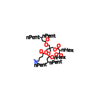 CCCCCCOC(=O)C(CCCCCC)C(=O)OCC(COC(=O)CCCN(C)C)(COC(=O)CC(CCCCC)CCCCC)COC(=O)CC(CCCCC)CCCCC